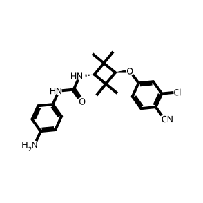 CC1(C)[C@H](NC(=O)Nc2ccc(N)cc2)C(C)(C)[C@H]1Oc1ccc(C#N)c(Cl)c1